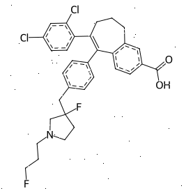 O=C(O)c1ccc2c(c1)CCCC(c1ccc(Cl)cc1Cl)=C2c1ccc(CC2(F)CCN(CCCF)C2)cc1